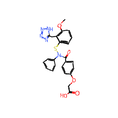 COc1cccc(SN(C(=O)c2ccc(OCC(=O)O)cc2)c2ccccc2)c1-c1nnn[nH]1